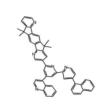 CC1(C)c2cc3c(cc2-c2ncccc21)C(C)(C)c1cc(-c2cc(-c4ccnc5ccccc45)cc(-c4cc(-c5cccc6ccccc56)ccn4)n2)cnc1-3